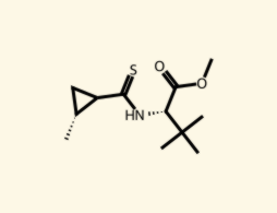 COC(=O)[C@@H](NC(=S)C1C[C@H]1C)C(C)(C)C